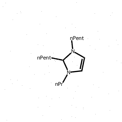 CCCCCC1N(CCC)C=CN1CCCCC